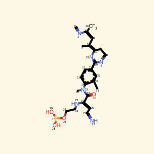 C=N/C(=C\C(C)=C1/CC=NC(c2ccc(N(C)C(=O)/C(=C/C=N)NCCOP(O)O)c(C)c2)=N1)C(F)(F)F